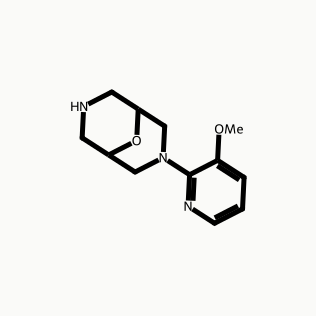 COc1cccnc1N1CC2CNCC(C1)O2